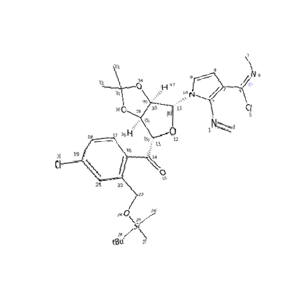 C=Nc1c(/C(Cl)=N\C)ccn1[C@@H]1O[C@H](C(=O)c2ccc(Cl)cc2CO[Si](C)(C)C(C)(C)C)[C@H]2OC(C)(C)O[C@H]21